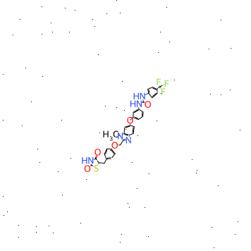 Cn1c(COc2ccc(CC3SC(=O)NC3=O)cc2)nc2ccc(Oc3cccc(NC(=O)Nc4ccc(C(F)(F)F)cc4)c3)cc21